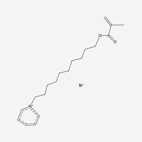 C=C(C)C(=O)OCCCCCCCCCC[n+]1ccccc1.[Br-]